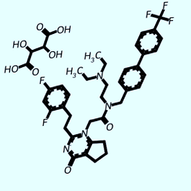 CCN(CC)CCN(Cc1ccc(-c2ccc(C(F)(F)F)cc2)cc1)C(=O)Cn1c(CCc2ccc(F)cc2F)nc(=O)c2c1CCC2.O=C(O)C(O)C(O)C(=O)O